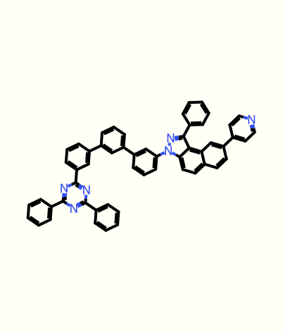 c1ccc(-c2nc(-c3ccccc3)nc(-c3cccc(-c4cccc(-c5cccc(-n6nc(-c7ccccc7)c7c8cc(-c9ccncc9)ccc8ccc76)c5)c4)c3)n2)cc1